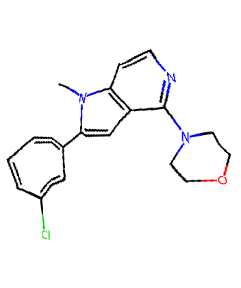 Cn1c(-c2cccc(Cl)c2)cc2c(N3CCOCC3)nccc21